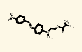 C=C(C)C(=O)OCCN(C)c1ccc(N=Nc2ccc([N+](=O)[O-])cc2)cc1